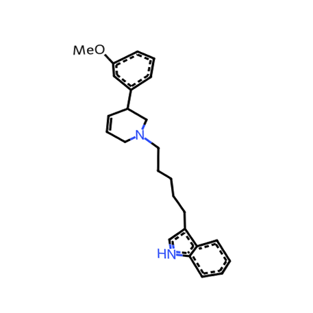 COc1cccc(C2C=CCN(CCCCCc3c[nH]c4ccccc34)C2)c1